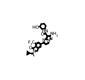 C[C@@H](C1CC1)N1Cc2cc(-c3ccn4nc(N)c(C(=O)N[C@H]5CCC[C@@H](O)C5)c4n3)cc(C(F)(F)F)c2C1=O